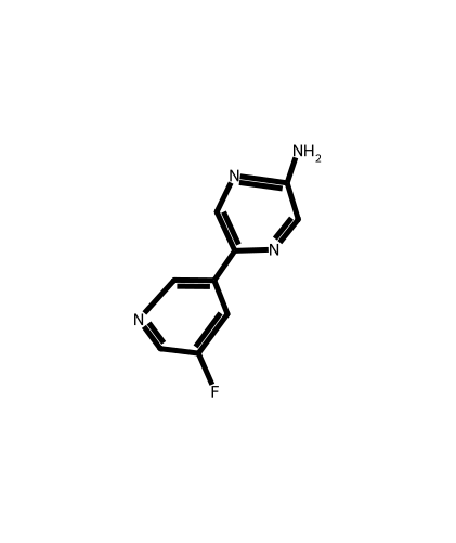 Nc1cnc(-c2cncc(F)c2)cn1